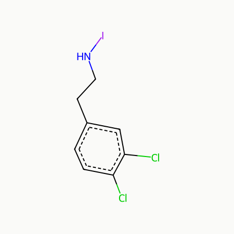 Clc1ccc(CCNI)cc1Cl